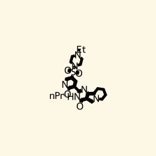 CCCOc1ncc(S(=O)(=O)N2CCN(CC)CC2)cc1-c1nc2c3n(cc2c(=O)[nH]1)CCCC3